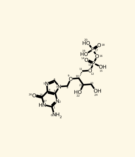 Nc1nc2c(ncn2CO[C@H](COP(=O)(O)OP(=O)(O)O)C(O)CO)c(=O)[nH]1